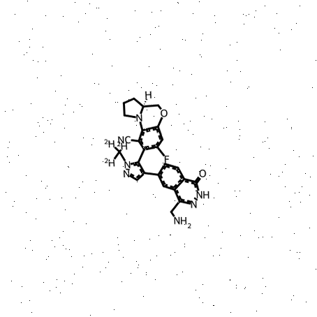 [2H]C([2H])([2H])n1ncc(-c2ccc3c(=O)[nH]nc(CN)c3c2)c1-c1c(F)cc2c(c1C#N)N1CCC[C@H]1CO2